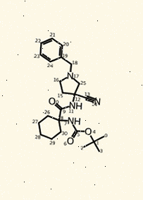 CC(C)(C)OC(=O)NC1(C(=O)NC2(C#N)CCN(Cc3ccccc3)C2)CCCCC1